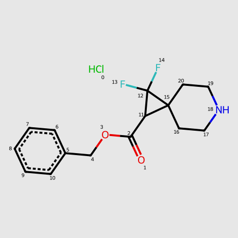 Cl.O=C(OCc1ccccc1)C1C(F)(F)C12CCNCC2